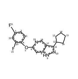 Fc1ccc(Oc2cc3[nH]nc(C4CCCC4)c3cn2)c(F)c1